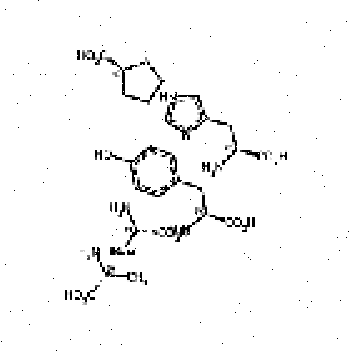 CC[C@H](C)[C@H](N)C(=O)O.C[C@@H](N)C(=O)O.N[C@@H](Cc1c[nH]cn1)C(=O)O.N[C@@H](Cc1ccc(O)cc1)C(=O)O.O=C(O)[C@@H]1CCCN1